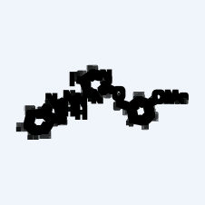 COc1cccc(COc2ncc(F)c(NNc3nc4ccccc4s3)n2)c1